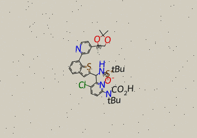 CC1(C)OC[C@@](C)(c2ccnc(-c3cccc4cc(C(N[S@@+]([O-])C(C)(C)C)c5nc(N(C(=O)O)C(C)(C)C)ccc5Cl)sc34)c2)O1